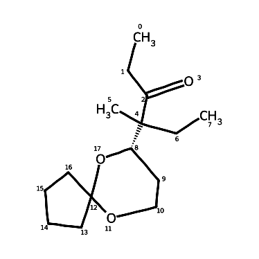 CCC(=O)C(C)(CC)[C@@H]1CCOC2(CCCC2)O1